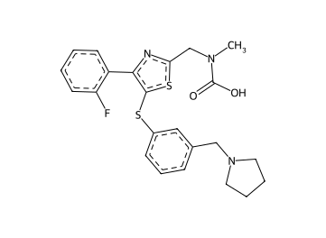 CN(Cc1nc(-c2ccccc2F)c(Sc2cccc(CN3CCCC3)c2)s1)C(=O)O